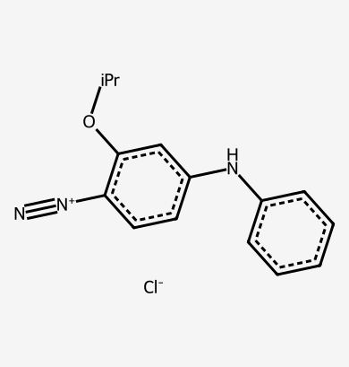 CC(C)Oc1cc(Nc2ccccc2)ccc1[N+]#N.[Cl-]